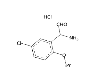 CC(C)Oc1ccc(Cl)cc1C(N)C=O.Cl